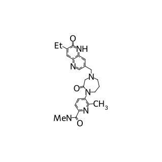 CCc1cc2ncc(CN3CCCN(c4ccc(C(=O)NC)nc4C)C(=O)C3)cc2[nH]c1=O